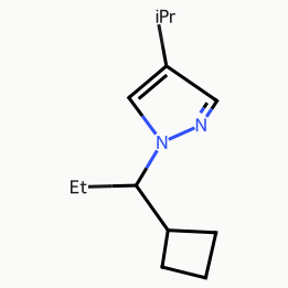 CCC(C1CCC1)n1cc(C(C)C)cn1